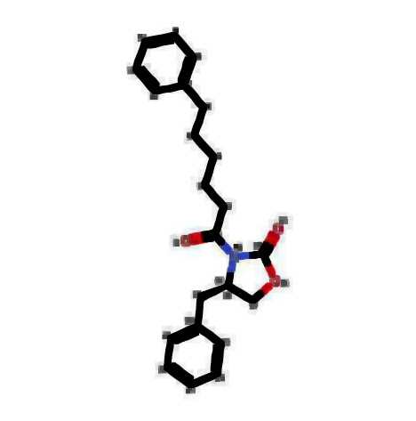 O=C(CCCCCc1ccccc1)N1C(=O)OC[C@H]1Cc1ccccc1